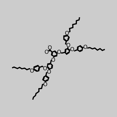 CCCCCCCCOc1ccc(COc2ccc(COc3cc(OCc4ccc(OCc5ccc(OCCCCCCCC)cc5)c(OCc5ccc(OCCCCCCCC)cc5)c4)cc(C(=O)OC)c3)cc2OCc2ccc(OCCCCCCCC)cc2)cc1